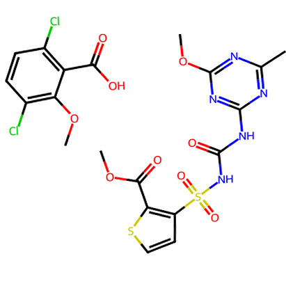 COC(=O)c1sccc1S(=O)(=O)NC(=O)Nc1nc(C)nc(OC)n1.COc1c(Cl)ccc(Cl)c1C(=O)O